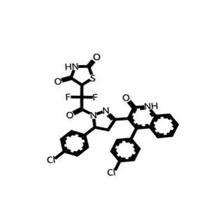 O=C1NC(=O)C(C(F)(F)C(=O)N2N=C(c3c(-c4ccc(Cl)cc4)c4ccccc4[nH]c3=O)CC2c2ccc(Cl)cc2)S1